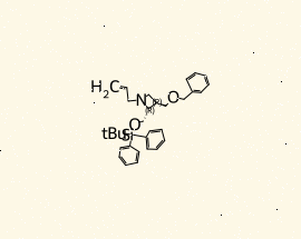 C=CCN1C[C@@H](COCc2ccccc2)[C@@H]1CO[Si](c1ccccc1)(c1ccccc1)C(C)(C)C